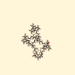 C[Si](C)(C)O[Si](C)(C)O[Si](C)(CCCC[SiH2]O[Si](C)(C)CCC[Si](O[Si](C)(C)CCC[Si](O[Si](C)(C)C)(O[Si](C)(C)C)O[Si](C)(C)C)(O[Si](C)(C)CCC[Si](O[Si](C)(C)C)(O[Si](C)(C)C)O[Si](C)(C)C)O[Si](C)(C)CCC[Si](O[Si](C)(C)C)(O[Si](C)(C)C)O[Si](C)(C)C)O[Si](C)(C)C